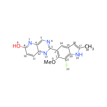 COc1c(-c2ncc3nc(O)ccc3n2)cc2cc(C)[nH]c2c1F